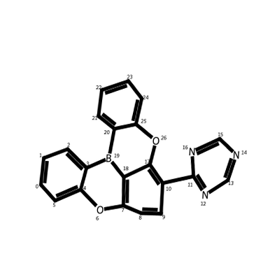 c1ccc2c(c1)Oc1ccc(-c3ncncn3)c3c1B2c1ccccc1O3